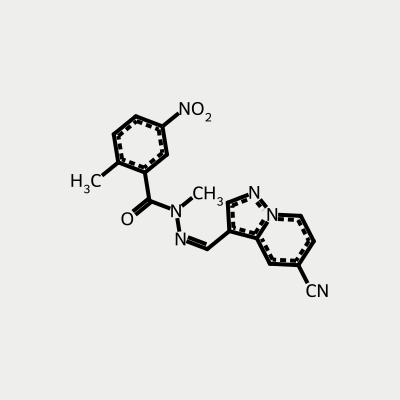 Cc1ccc([N+](=O)[O-])cc1C(=O)N(C)/N=C\c1cnn2ccc(C#N)cc12